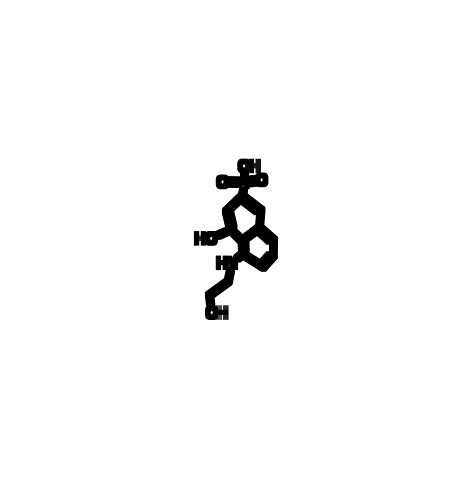 O=S(=O)(O)c1cc(O)c2c(NCCO)cccc2c1